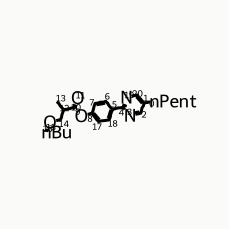 CCCCCc1cnc(-c2ccc(OC(=O)C(C)COCCCC)cc2)nc1